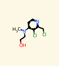 CN(CCO)c1ccnc(CCl)c1Cl